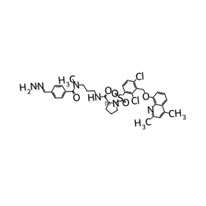 Cc1cc(C)c2cccc(OCc3c(Cl)ccc(S(=O)(=O)N4CCC[C@H]4C(=O)NCCCN(C)C(=O)c4ccc(C=NN)cc4)c3Cl)c2n1